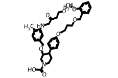 COCCC(=O)CNc1cc(COC2CN(C(=O)O)CCC2c2ccc(OCCCOCc3ccccc3OC)cc2)ccc1C